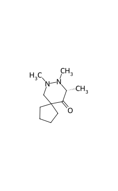 C[C@@H]1C(=O)C2(CCCC2)CN(C)N1C